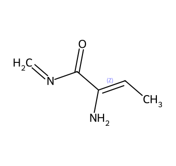 C=NC(=O)/C(N)=C/C